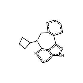 c1ccc2c(c1)CN(C1CCC1)c1nccc3[nH]nc-2c13